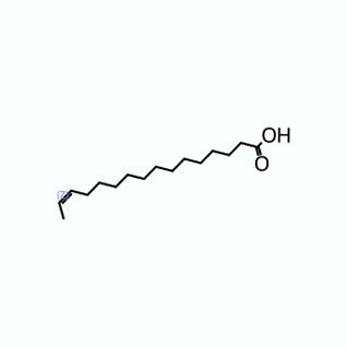 C/C=C\CCCCCCCCCCCCC(=O)O